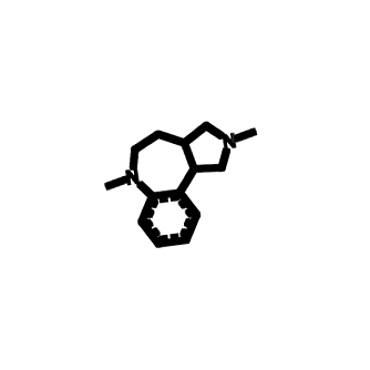 CN1CC2CCN(C)c3ccccc3C2C1